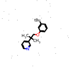 CC(C)(C)c1cccc(OCC(C)(C)c2cccnc2)c1